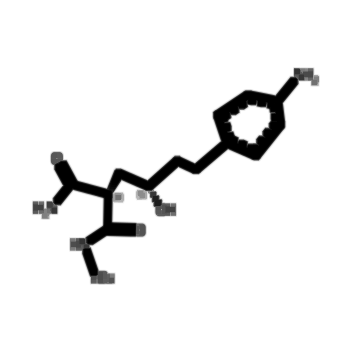 CCCCNC(=O)[C@H](C[C@@H](O)[CH]Cc1ccc(N)cc1)C(N)=O